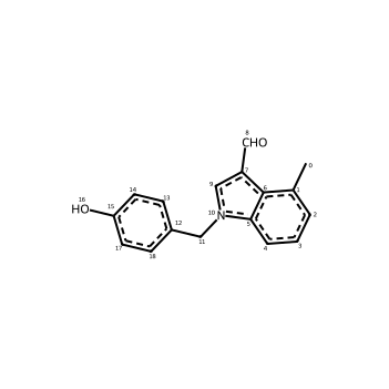 Cc1cccc2c1c(C=O)cn2Cc1ccc(O)cc1